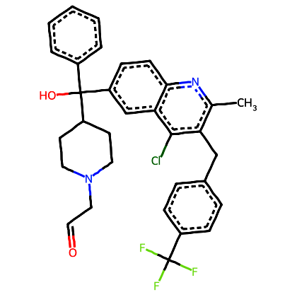 Cc1nc2ccc(C(O)(c3ccccc3)C3CCN(CC=O)CC3)cc2c(Cl)c1Cc1ccc(C(F)(F)F)cc1